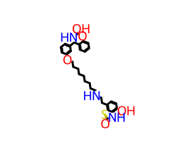 O=C(O)NC(c1ccccc1)c1cccc(OCCCCCCCCCNCCc2ccc(O)c3[nH]c(=O)sc23)c1